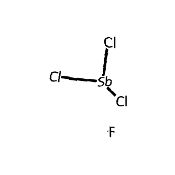 [Cl][Sb]([Cl])[Cl].[F]